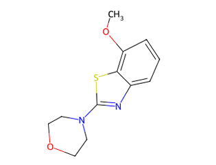 COc1cccc2nc(N3CCOCC3)sc12